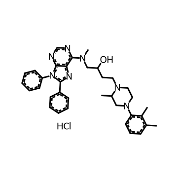 Cc1cccc(N2CCN(CCC(O)CN(C)c3ncnc4c3nc(-c3ccccc3)n4-c3ccccc3)C(C)C2)c1C.Cl